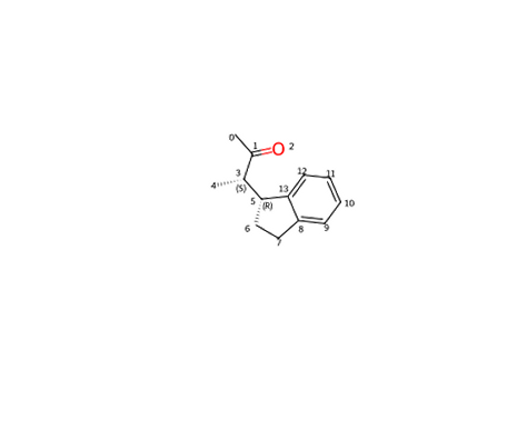 CC(=O)[C@@H](C)[C@H]1CCc2ccccc21